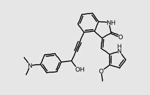 COc1cc[nH]c1C=C1C(=O)Nc2cccc(C#CC(O)c3ccc(N(C)C)cc3)c21